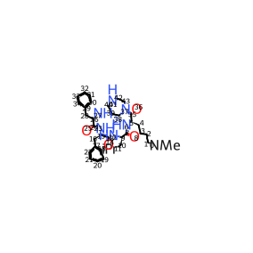 CNCCCC[C@@H](NC(=O)[C@@H](CC(C)C)NC(=O)[C@@H](Cc1ccccc1)NC(=O)[C@H](N)Cc1ccccc1)C(=O)N1CCCNCC1